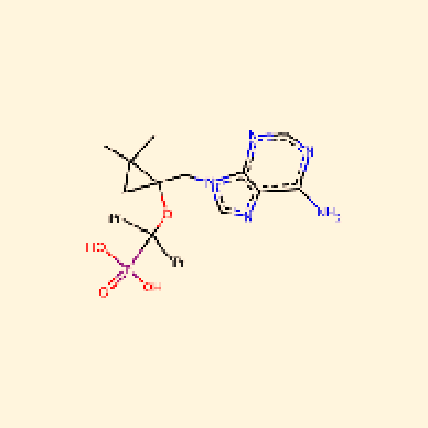 CC(C)C(OC1(Cn2cnc3c(N)ncnc32)CC1(C)C)(C(C)C)P(=O)(O)O